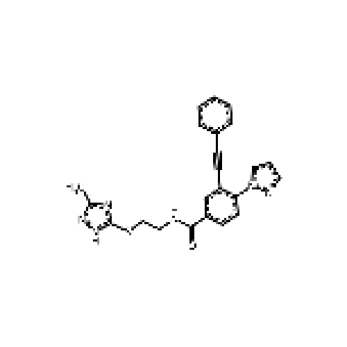 Cc1n[nH]c(SCCNC(=O)c2ccc(-n3cccn3)c(C#Cc3ccccc3)c2)n1